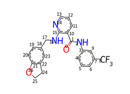 O=C(Nc1cccc(C(F)(F)F)c1)c1cccnc1NCc1ccc2c(c1)CCO2